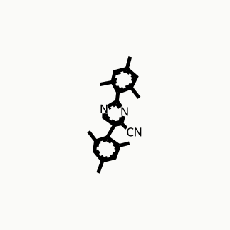 Cc1cc(C)c(-c2ncc(-c3c(C)cc(C)cc3C)c(C#N)n2)c(C)c1